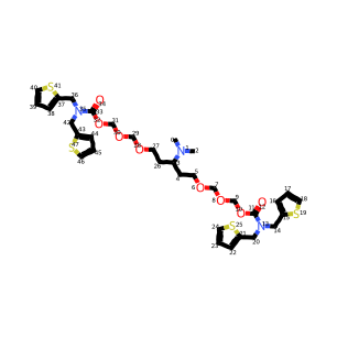 CN(C)C(CCOCOCOC(=O)N(Cc1cccs1)Cc1cccs1)CCOCOCOC(=O)N(Cc1cccs1)Cc1cccs1